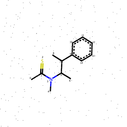 CC(=S)N(C)C(C)C(C)c1ccccc1